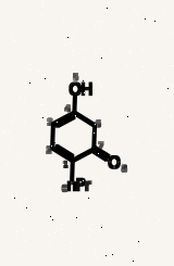 C[CH]CC1=CC=C(O)CC1=O